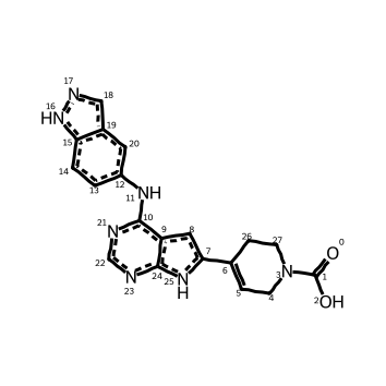 O=C(O)N1CC=C(c2cc3c(Nc4ccc5[nH]ncc5c4)ncnc3[nH]2)CC1